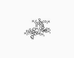 CCC(C)(C)C(=O)C(=O)N1CCCC[C@H]1C(=O)O[C@H](CCc1cccnc1)CC(C)(C)CCC(C)(C)N1C[C@@H](SC2=C(C(=O)O)N3C(=O)[C@H]([C@@H](C)O)[C@H]3[C@H]2C)C[C@H]1C(=O)N(C)C